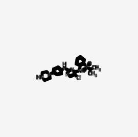 CC(C)S(=O)(=O)c1ccccc1Nc1nc(Nc2ccc(N3CCNCC3)cc2)ncc1Cl